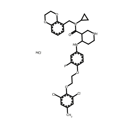 Cc1cc(Cl)c(OCCOc2ccc(NC3CCNCC3C(=O)N(Cc3cccc4c3OCCO4)C3CC3)cc2F)c(Cl)c1.Cl